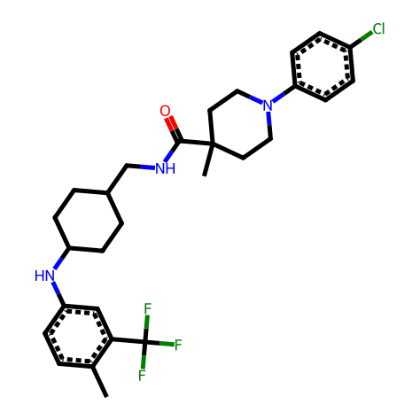 Cc1ccc(NC2CCC(CNC(=O)C3(C)CCN(c4ccc(Cl)cc4)CC3)CC2)cc1C(F)(F)F